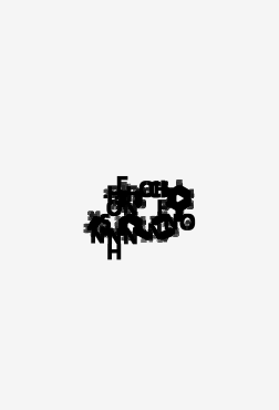 O=C(c1cccc(Cl)c1F)N1CCN(Cc2cc(N(CCO)C(=O)C(F)(F)F)cc(Nc3nccs3)n2)CC1